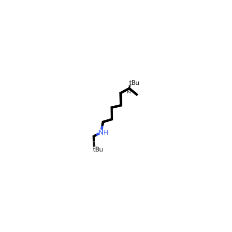 C[C@@H](CCCCCNCC(C)(C)C)C(C)(C)C